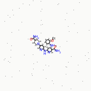 CCOc1ccccc1Nc1cc(Nc2ccc(N3CCC(C(N)=O)CC3)cn2)ncc1C(N)=O